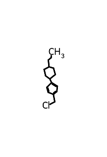 CCCC1CCC(c2ccc(CCl)cc2)CC1